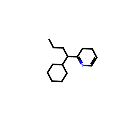 CCCC(C1=NC=CCC1)C1CCCCC1